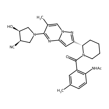 CC(=O)Nc1ccc(C)cc1C(=O)N1CCCC[C@H]1c1cc2nc(N3C[C@@H](C#N)[C@@H](O)C3)c(C)cn2n1